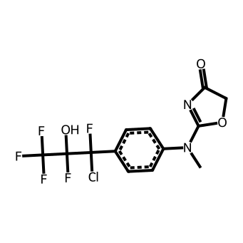 CN(C1=NC(=O)CO1)c1ccc(C(F)(Cl)C(O)(F)C(F)(F)F)cc1